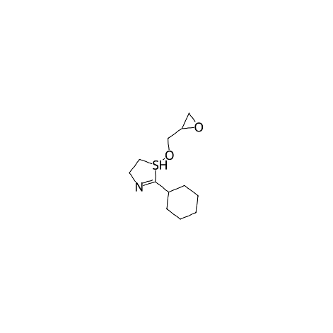 C1CCC(C2=NCC[SH]2OCC2CO2)CC1